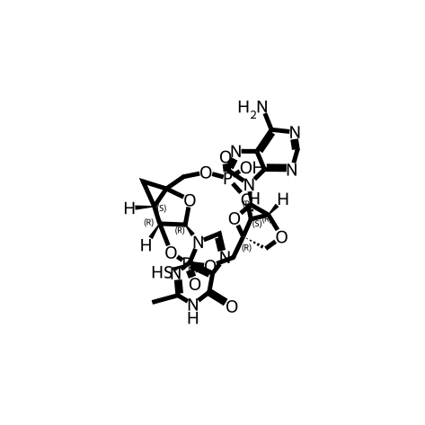 Cc1nc2c(ncn2[C@@H]2OC34COP(=O)(O)O[C@H]5[C@H]6OC[C@]5(CO[P@@](=O)(S)O[C@@H]2[C@@H]3C4)O[C@H]6n2cnc3c(N)ncnc32)c(=O)[nH]1